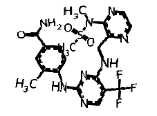 Cc1cc(C(N)=O)ccc1Nc1ncc(C(F)(F)F)c(NCc2nccnc2N(C)S(C)(=O)=O)n1